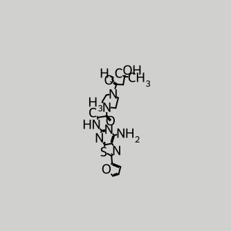 C[C@H](Nc1nc(N)c2nc(-c3ccco3)sc2n1)C(=O)N1CCN(C(=O)CC(C)(C)O)CC1